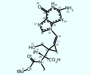 CC(C)[C@@](C(=O)O)(N(C)C(=O)OC(C)(C)C)C1(CO)C/C1=C/n1cnc2c(=O)[nH]c(N)nc21